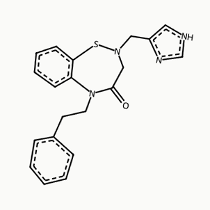 O=C1CN(Cc2c[nH]cn2)Sc2ccccc2N1CCc1ccccc1